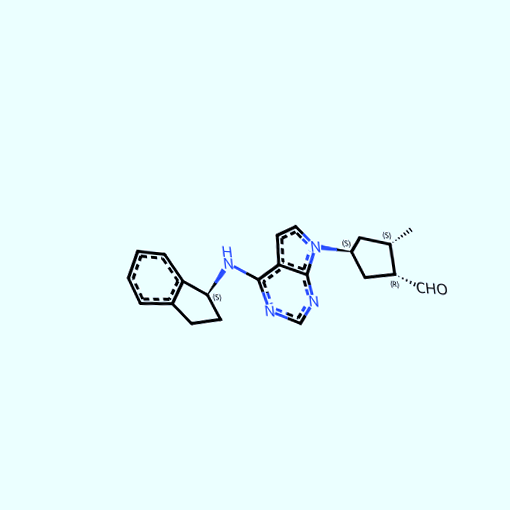 C[C@H]1C[C@H](n2ccc3c(N[C@H]4CCc5ccccc54)ncnc32)C[C@H]1C=O